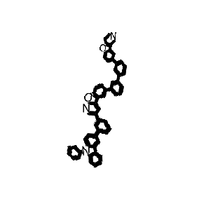 c1ccc(-n2c3ccccc3c3cc(-c4cccc(-c5cnc6oc7ccc(-c8cccc(-c9cccc(-c%10ccc%11oc%12ccncc%12c%11c%10)c9)c8)cc7c6c5)c4)ccc32)cc1